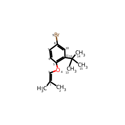 CC(C)=COc1ccc(Br)cc1C(C)(C)C